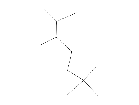 CC(C)C(C)CCC(C)(C)C